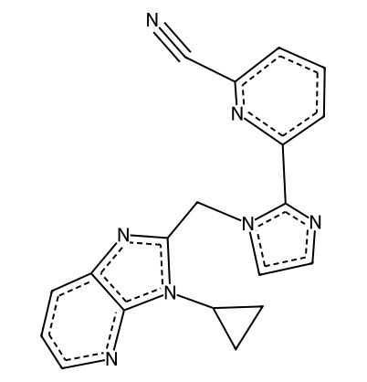 N#Cc1cccc(-c2nccn2Cc2nc3cccnc3n2C2CC2)n1